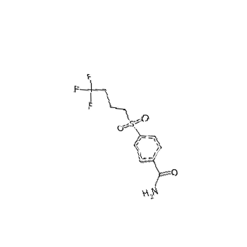 NC(=O)c1ccc(S(=O)(=O)CCCC(F)(F)F)cc1